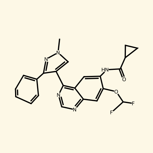 Cn1cc(-c2ncnc3cc(OC(F)F)c(NC(=O)C4CC4)cc23)c(-c2ccccc2)n1